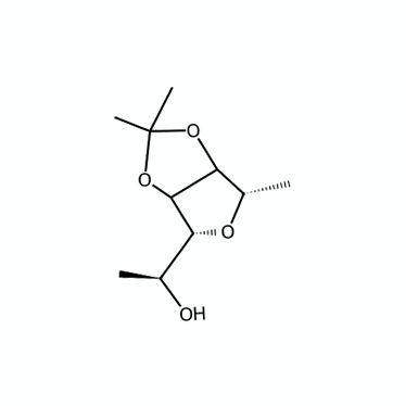 C[C@@H]1O[C@H]([C@H](C)O)C2OC(C)(C)OC21